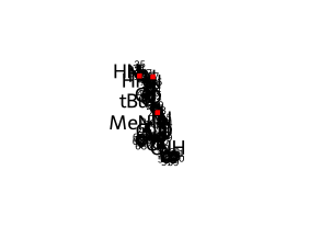 CN[C@@H](C)C(=O)NC(C(=O)N1C[C@@H](Oc2cnc(N3CCC(COc4cc5ncnc(Nc6n[nH]c(C)c6C)c5cc4S(=O)(=O)C(C)(C)C)CC3)nc2)C[C@H]1C(=O)N[C@@H]1CCCc2ccccc21)C1CCCCC1